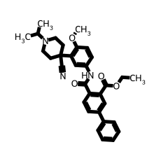 CCOC(=O)c1cc(-c2ccccc2)ccc1C(=O)Nc1ccc(OC)c(C2(C#N)CCN(C(C)C)CC2)c1